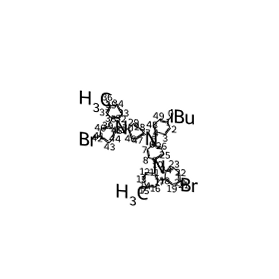 CCC(C)c1ccc(N(c2ccc(-n3c4ccc(C)cc4c4cc(Br)ccc43)cc2)c2ccc(-n3c4ccc(C)cc4c4cc(Br)ccc43)cc2)cc1